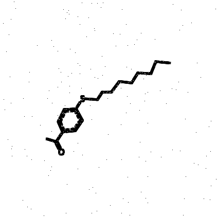 CCCCCCCCCSc1ccc(C(C)=O)cc1